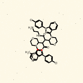 CN(C)[C@H]1CCN(C(=O)C(C(C(=O)NCCN)C2COCCN2c2nn(-c3ccc(Cl)cc3)c3cnccc23)C2COCCN2c2nn(-c3ccc(Cl)cc3)c3cnccc23)C1